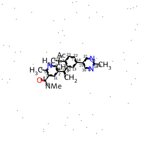 C=C(c1cnc(C)c(C(=O)NC)c1)c1cc(-c2cnc(C)nc2)ccc1C(C)(C)C(C)=O